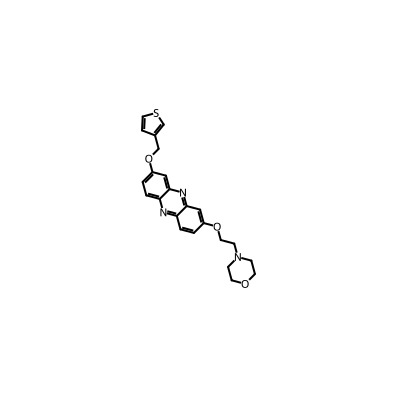 c1cc(COc2ccc3nc4ccc(OCCN5CCOCC5)cc4nc3c2)cs1